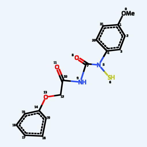 COc1ccc(N(S)C(=O)NC(=O)COc2ccccc2)cc1